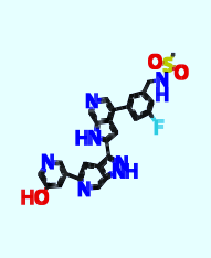 CS(=O)(=O)NCc1cc(F)cc(-c2cncc3[nH]c(-c4n[nH]c5cnc(-c6cncc(O)c6)cc45)cc23)c1